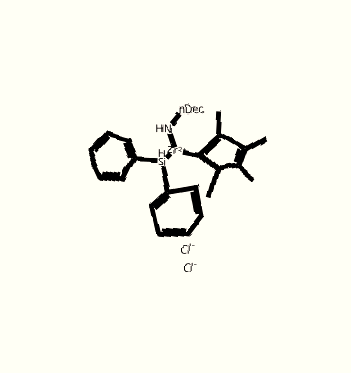 CCCCCCCCCC[NH][Zr+2]([C]1=C(C)C(C)=C(C)C1C)[SiH](c1ccccc1)c1ccccc1.[Cl-].[Cl-]